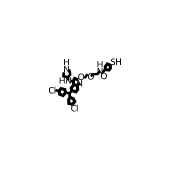 O=C(NCCOCCOc1cc(NC2CCNCC2)c2cc(C(c3ccc(Cl)cc3)c3ccc(Cl)cc3)ccc2n1)c1ccc(S)cc1